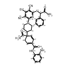 CCc1c(C#N)c(SC(C(N)=O)c2ccccc2)nc(N2CCC(C3(C(N)=O)C=CC(C(=O)Nc4ccccc4N)=CC3)CC2)c1C#N